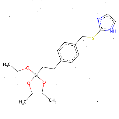 CCO[Si](CCc1ccc(CSc2ncc[nH]2)cc1)(OCC)OCC